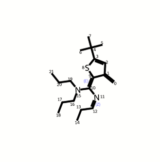 C=c1cc(C(C)(C)C)s/c1=C(/N=C\CC)N(CCC)CCC